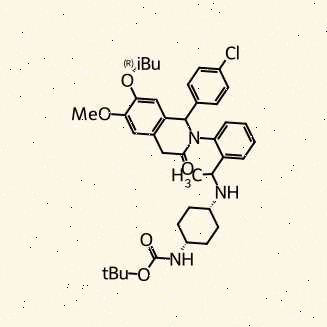 CC[C@@H](C)Oc1cc2c(cc1OC)CC(=O)N(c1ccccc1C(C)N[C@H]1CC[C@@H](NC(=O)OC(C)(C)C)CC1)C2c1ccc(Cl)cc1